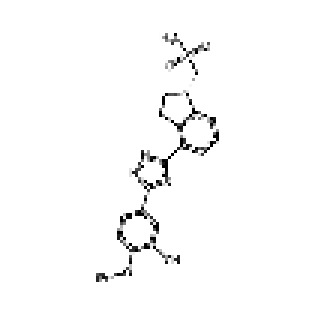 CC(C)Oc1ccc(-c2nnc(-c3cccc4c3CC[C@@H]4CS(C)(=O)=O)s2)cc1C#N